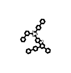 c1ccc(-c2ccc(-c3nc(-c4cccc(-c5ccccc5)c4)nc(-c4ccc5c(c4)oc4cc(-c6ccccc6)cc(-c6ccc(-c7ccccc7)cc6)c45)n3)cc2)cc1